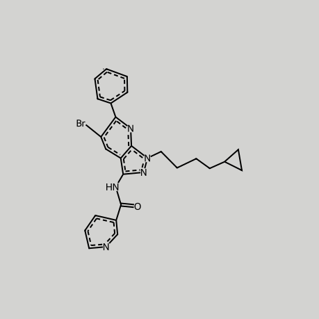 O=C(Nc1nn(CCCCC2CC2)c2nc(-c3cc[c]cc3)c(Br)cc12)c1cccnc1